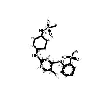 CC(C)S(=O)(=O)c1ccccc1Nc1nc(NC2CCC(NS(C)(=O)=O)CC2)ncc1Cl